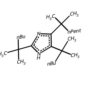 CCCCCC(C)(C)c1nc(C(C)(C)CCCC)[nH]c1C(C)(C)CCCC